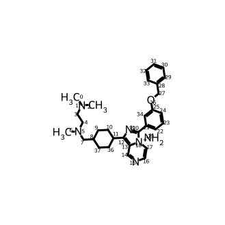 CN(C)CCN(C)CC1CCC(C2=C3C=NC=C[N+]3(N)C(c3cccc(OCc4ccccc4)c3)=N2)CC1